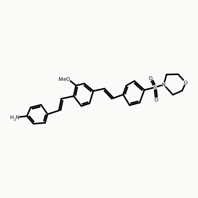 COc1cc(/C=C/c2ccc(S(=O)(=O)N3CCOCC3)cc2)ccc1/C=C/c1ccc(N)cc1